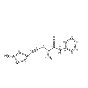 C=C(CC#Cc1cnn(C)c1)C(=O)Nc1ccccc1